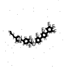 C=CCCc1cnc(-c2ccc(C(F)(F)Oc3ccc(-c4ccc(-c5cc(F)c(F)c(F)c5)c(F)c4)c(F)c3)c(F)c2)nc1